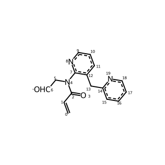 C=CC(=O)N(C[C]=O)c1ncccc1Cc1ccccn1